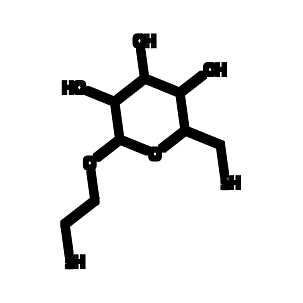 OC1C(CS)OC(OCCS)C(O)C1O